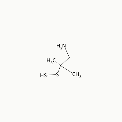 CC(C)(CN)SS